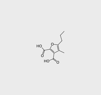 CCCc1oc(C(=O)O)c(C(=O)O)c1C